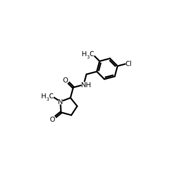 Cc1cc(Cl)ccc1CNC(=O)C1CCC(=O)N1C